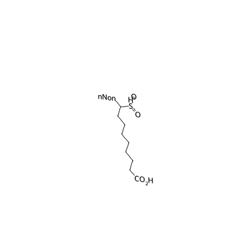 CCCCCCCCCC(CCCCCCCC(=O)O)[SH](=O)=O